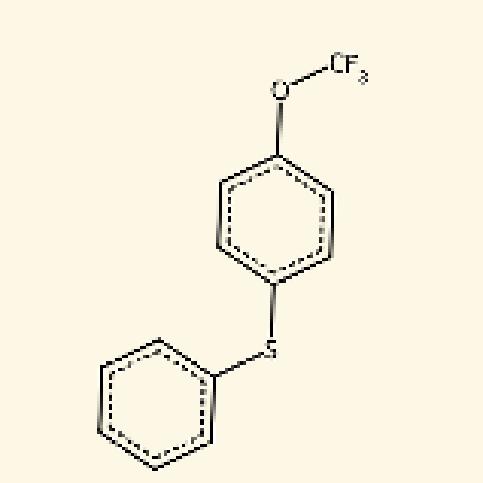 FC(F)(F)Oc1ccc(Sc2ccccc2)cc1